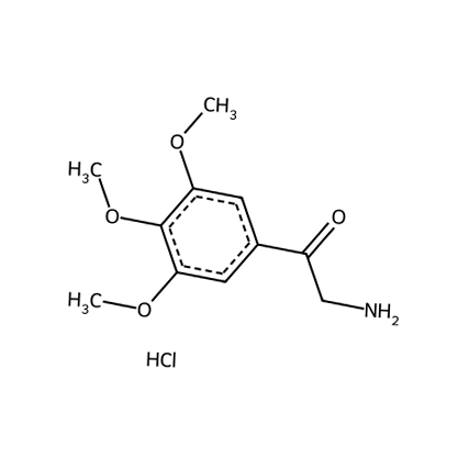 COc1cc(C(=O)CN)cc(OC)c1OC.Cl